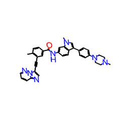 Cc1ccc(C(=O)Nc2ccc3c(-c4ccc(N5CCN(C)CC5)cc4)cn(C)c3c2)cc1C#Cc1cnc2cccnn12